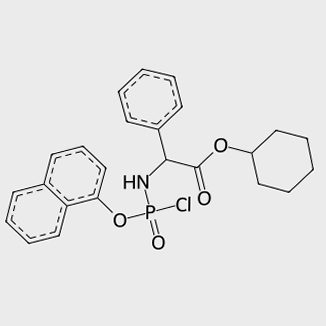 O=C(OC1CCCCC1)C(NP(=O)(Cl)Oc1cccc2ccccc12)c1ccccc1